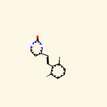 O=c1nc(/C=C/c2c(Cl)cccc2Cl)cc[nH]1